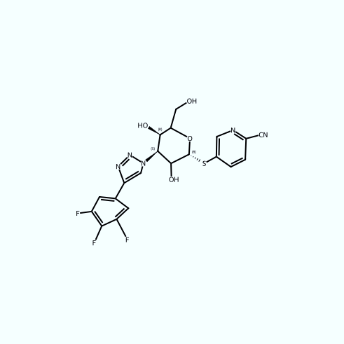 N#Cc1ccc(S[C@H]2OC(CO)[C@H](O)[C@H](n3cc(-c4cc(F)c(F)c(F)c4)nn3)C2O)cn1